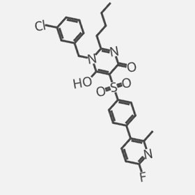 CCCCc1nc(=O)c(S(=O)(=O)c2ccc(-c3ccc(F)nc3C)cc2)c(O)n1Cc1cccc(Cl)c1